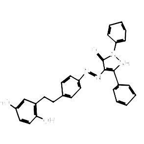 O=c1c(N=Nc2ccc(CCc3cc(O)ccc3O)cc2)c(-c2ccccc2)[nH]n1-c1ccccc1